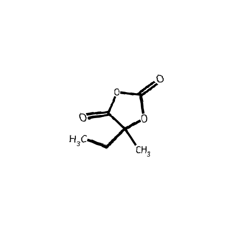 CCC1(C)OC(=O)OC1=O